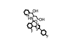 O=C(NC(CCO)C(O)c1ccccn1)c1cccc(F)c1-c1ncc(-c2ccc(F)cc2)s1